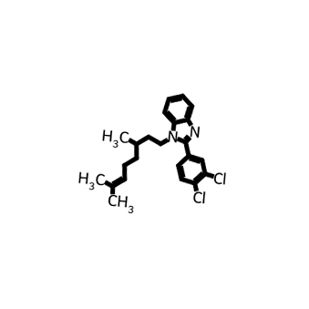 CC(C)=CCCC(C)CCn1c(-c2ccc(Cl)c(Cl)c2)nc2ccccc21